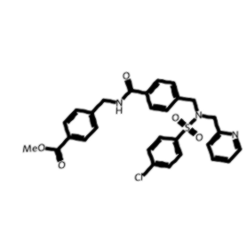 COC(=O)c1ccc(CNC(=O)c2ccc(CN(Cc3ccccn3)S(=O)(=O)c3ccc(Cl)cc3)cc2)cc1